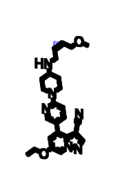 CCOc1cc(-c2ccc(N3CCC(NC/C=C\COC)CC3)nc2)c2c(C#N)cnn2c1